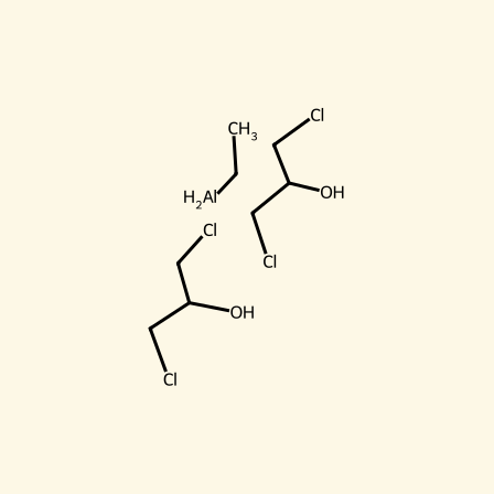 C[CH2][AlH2].OC(CCl)CCl.OC(CCl)CCl